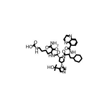 CC(C)(O)c1cnnn1[C@H]1C[C@@H](C(=O)NC(CCCCNC(=O)O)C(=O)C(N)=O)N(C(=O)C(CC2CCCCC2)NC(=O)c2cccc3nccnc23)C1